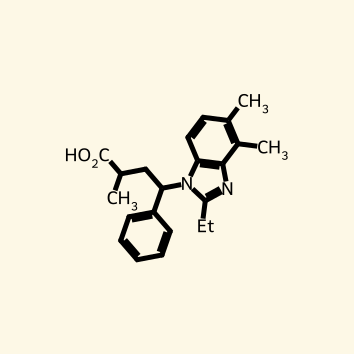 CCc1nc2c(C)c(C)ccc2n1C(CC(C)C(=O)O)c1ccccc1